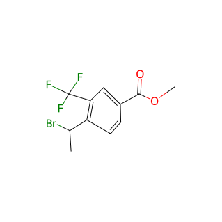 COC(=O)c1ccc(C(C)Br)c(C(F)(F)F)c1